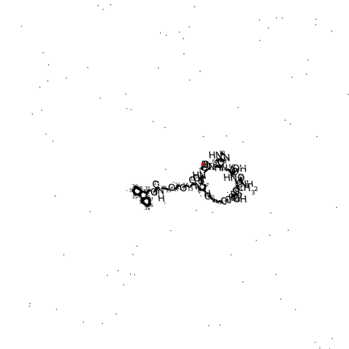 CC(C)C[C@@H]1NC(=O)[C@@H]2C[C@H](CN2C(=O)CCOCCOCCNC(=O)OCC2c3ccccc3-c3ccccc32)O/C=C\CCCOP(=O)(O)O[C@H](C)[C@@H](C(N)=O)NC(=O)[C@H](CO)NC(=O)[C@H](Cc2cnc[nH]2)NC1=O